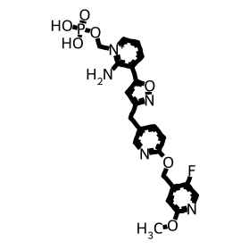 COc1cc(COc2ccc(Cc3cc(-c4ccc[n+](COP(=O)(O)O)c4N)on3)cn2)c(F)cn1